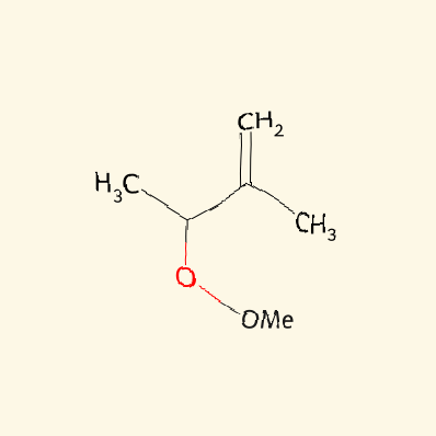 C=C(C)C(C)OOC